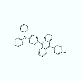 CC1=CC=C(c2c3c(c(C4=CC=C(N(C5=CCCC=C5)C5C=CC=CC5)CC4)c4ccccc24)=CCCC=3)CC1